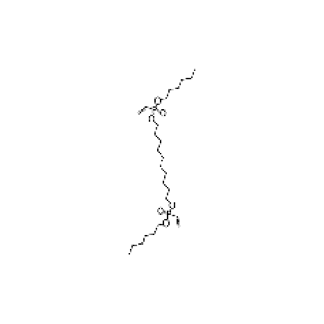 C=CP(=O)(OCCCCCC)OCCCCCCCCCCOP(=O)(C=C)OCCCCCC